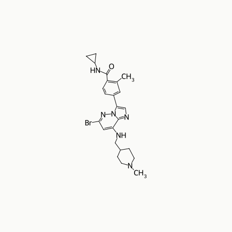 Cc1cc(-c2cnc3c(NCC4CCN(C)CC4)cc(Br)nn23)ccc1C(=O)NC1CC1